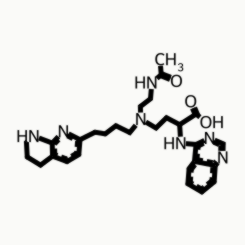 CC(=O)NCCN(CCCCc1ccc2c(n1)NCCC2)CCC(Nc1ncnc2ccccc12)C(=O)O